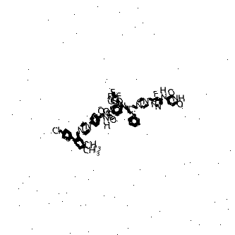 CC1(C)CCC(c2ccc(Cl)cc2)=C(CN2CCN(c3ccc(C(=O)NS(=O)(=O)c4ccc(N[C@H](CCN5CCN(Cc6nncc(NC7CCC(=O)NC7=O)c6F)CC5)CSc5ccccc5)c(S(=O)(=O)C(F)(F)F)c4)cc3)CC2)C1